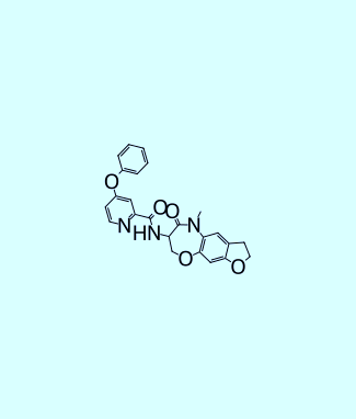 CN1C(=O)C(NC(=O)c2cc(Oc3ccccc3)ccn2)COc2cc3c(cc21)CCO3